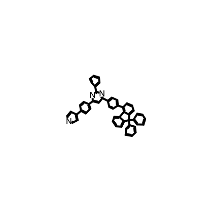 c1ccc(-c2nc(-c3ccc(-c4ccncc4)cc3)cc(-c3ccc(-c4cccc5c4-c4ccccc4C5(c4ccccc4)c4ccccc4)cc3)n2)cc1